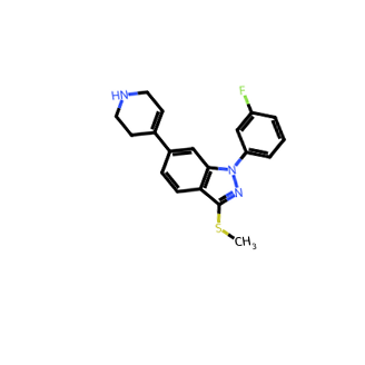 CSc1nn(-c2cccc(F)c2)c2cc(C3=CCNCC3)ccc12